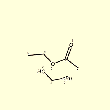 CCCCCO.CCOC(C)=O